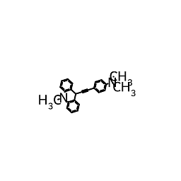 CN(C)c1ccc(C#CC2c3ccccc3N(C)c3ccccc32)cc1